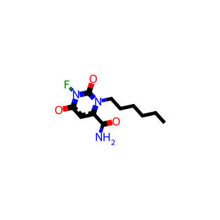 CCCCCCn1c(C(N)=O)cc(=O)n(F)c1=O